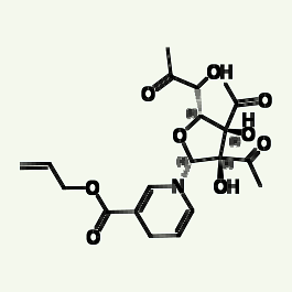 C=CCOC(=O)C1=CN([C@@H]2O[C@H](C(O)C(C)=O)[C@](O)(C(C)=O)[C@]2(O)C(C)=O)C=CC1